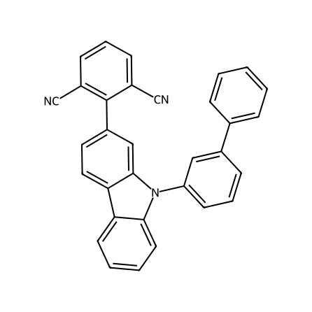 N#Cc1cccc(C#N)c1-c1ccc2c3ccccc3n(-c3cccc(-c4ccccc4)c3)c2c1